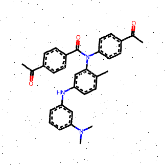 CC(=O)c1ccc(C(=O)N(c2ccc(C(C)=O)cc2)c2cc(Nc3cccc(N(C)C)c3)ccc2C)cc1